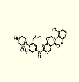 C[C@H]1CNCCN1c1ccc(Nc2ncc3c(n2)OCN(c2c(F)cccc2Cl)C3=O)cc1CO